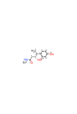 CCNC(=O)CCC(C)c1ccc(O)cc1O